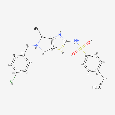 CC(C)C1c2nc(NS(=O)(=O)c3ccc(CC(=O)O)cc3)sc2CN1Cc1ccc(Cl)cc1